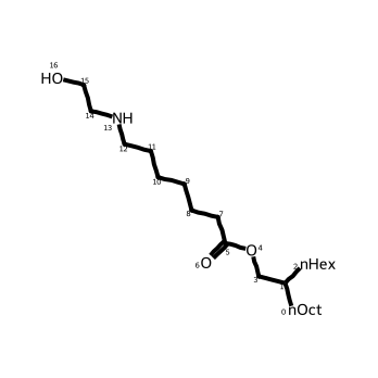 CCCCCCCCC(CCCCCC)COC(=O)CCCCCCNCCO